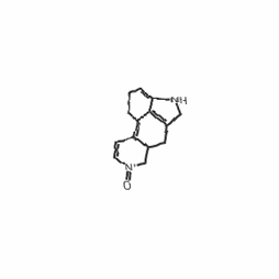 O=[N+]1C=CC2=C3CCC=C4NCC(=C43)CC2C1